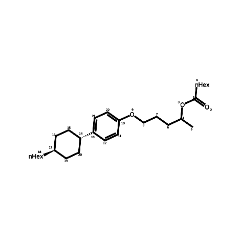 CCCCCCC(=O)OC(C)CCCOc1ccc([C@H]2CC[C@H](CCCCCC)CC2)cc1